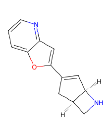 C1=C(c2cc3ncccc3o2)C[C@@H]2CN[C@H]12